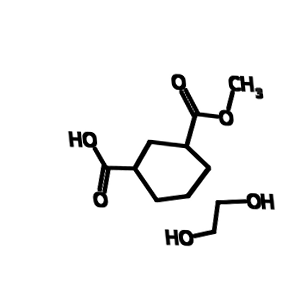 COC(=O)C1CCCC(C(=O)O)C1.OCCO